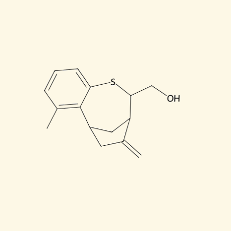 C=C1CC2CC1C(CO)Sc1cccc(C)c12